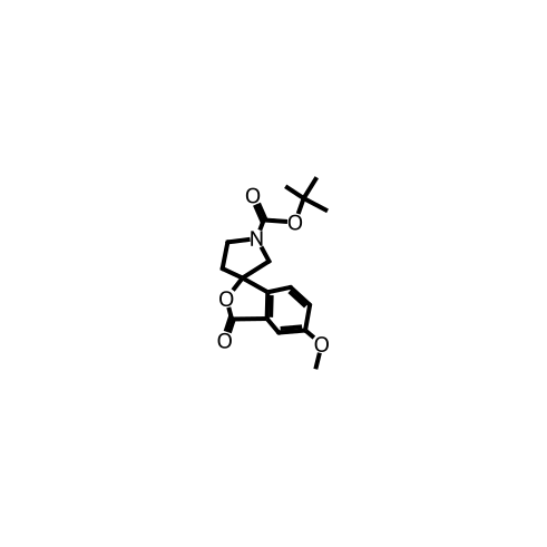 COc1ccc2c(c1)C(=O)OC21CCN(C(=O)OC(C)(C)C)C1